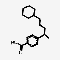 CC(CCCC1CCCCC1)c1ccc(C(=O)O)cc1